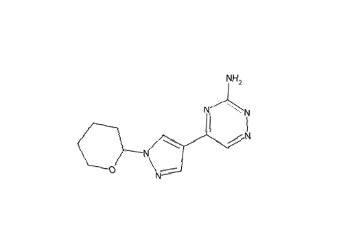 Nc1nncc(-c2cnn(C3CCCCO3)c2)n1